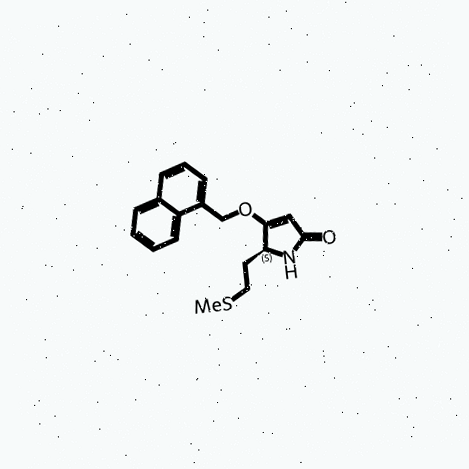 CSCC[C@@H]1NC(=O)C=C1OCc1cccc2ccccc12